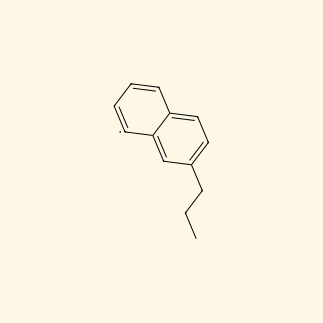 CCCc1ccc2ccc[c]c2c1